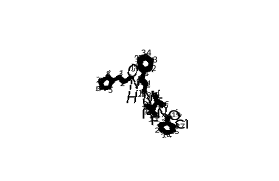 O=C(CCC1CCCC1)NC(CCN1CC2CN(C(=O)c3c(F)cccc3Cl)C[C@@H]2C1)c1ccccc1